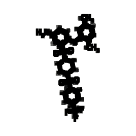 Cc1ccc(C)c(Sc2ccc(N)cc2S(=O)(=O)N2CCN(S(=O)(=O)c3ccc(C(F)(F)F)cc3)CC2)c1